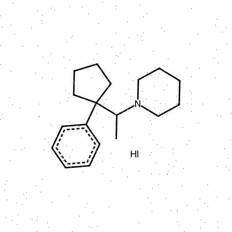 CC(N1CCCCC1)C1(c2ccccc2)CCCC1.I